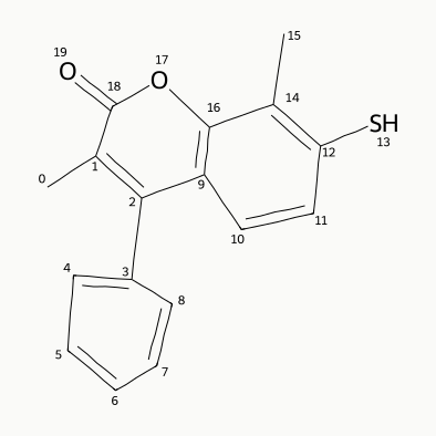 Cc1c(-c2ccccc2)c2ccc(S)c(C)c2oc1=O